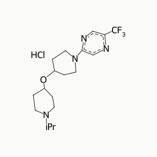 CC(C)N1CCC(OC2CCN(c3cnc(C(F)(F)F)cn3)CC2)CC1.Cl